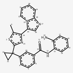 Cc1sc(C2(c3cccc(C(=O)Nc4ccccc4N)c3)CC2)nc1-c1cnc2ccccn12